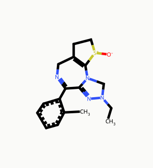 CCN1CN2C(=N1)C(c1ccccc1C)=NCC1=C2[S+]([O-])CC1